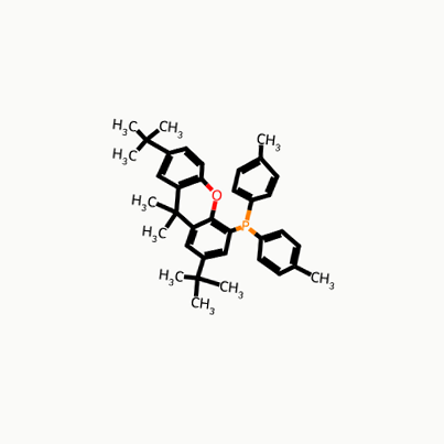 Cc1ccc(P(c2ccc(C)cc2)c2cc(C(C)(C)C)cc3c2Oc2ccc(C(C)(C)C)cc2C3(C)C)cc1